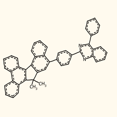 CC1(C)c2cc(-c3ccc(-c4nc(-c5ccccc5)c5ccccc5n4)cc3)c3ccccc3c2-c2c1c1ccccc1c1ccccc21